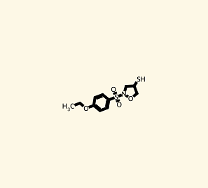 CCOc1ccc(S(=O)(=O)N2CC(S)CO2)cc1